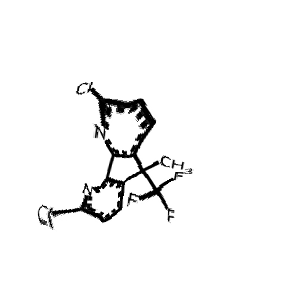 CC1(C(F)(F)F)c2ccc(Cl)nc2-c2nc(Cl)ccc21